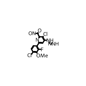 COc1c(Cl)ccc(-c2cc(NN=N)c(Cl)c(C(=O)N=O)n2)c1F